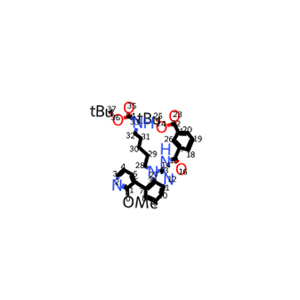 COc1ncccc1-c1cccc2nc(NC(=O)c3cccc(C(=O)OC(C)(C)C)c3)n(CCCCCNC(=O)OC(C)(C)C)c12